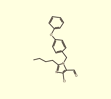 CCCCc1nc(Cl)c(C=O)n1Cc1ccc(Oc2ccccc2)cc1